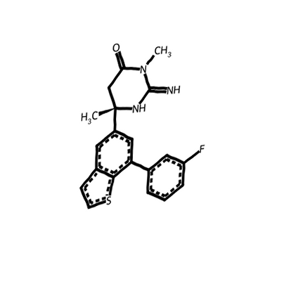 CN1C(=N)N[C@](C)(c2cc(-c3cccc(F)c3)c3sccc3c2)CC1=O